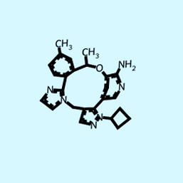 Cc1ccc2c(c1)C(C)Oc1cc(cnc1N)-c1c(cnn1C1CCC1)Cn1ccnc1-2